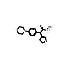 O=C(NO)C(C1=CSCC1)c1ccc(N2CCOCC2)cc1